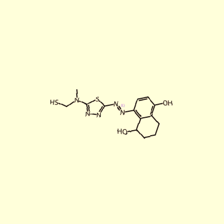 CN(CS)c1nnc(/N=N/c2ccc(O)c3c2C(O)CCC3)s1